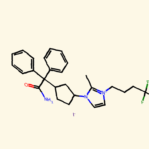 Cc1n(C2CCC(C(C(N)=O)(c3ccccc3)c3ccccc3)C2)cc[n+]1CCCC(F)(F)F.[I-]